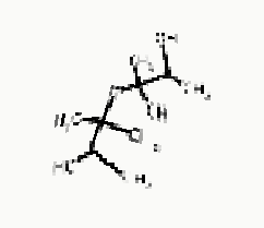 CC(O)C(C)(C)OC(C)(C)C(C)O